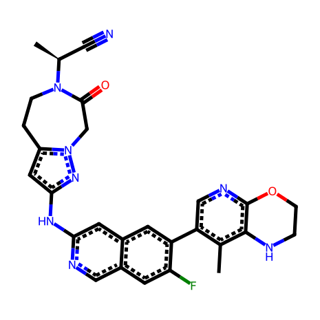 Cc1c(-c2cc3cc(Nc4cc5n(n4)CC(=O)N([C@@H](C)C#N)CC5)ncc3cc2F)cnc2c1NCCO2